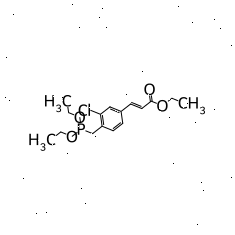 CCOC(=O)/C=C/c1ccc(CP(OCC)OCC)c(Cl)c1